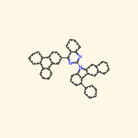 c1ccc(-c2cccc3c2c2cc4ccccc4cc2n3-c2nc(-c3ccc4c5ccccc5c5ccccc5c4c3)c3ccccc3n2)cc1